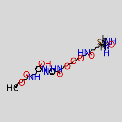 C#CCOCCC(=O)NCCc1ccc(O)c(N=Nc2ccc(C(=O)NCCOCCOCCOCCNC(=O)CCCC[C@@H]3SC[C@@H]4NC(=O)N[C@@H]43)cc2)c1